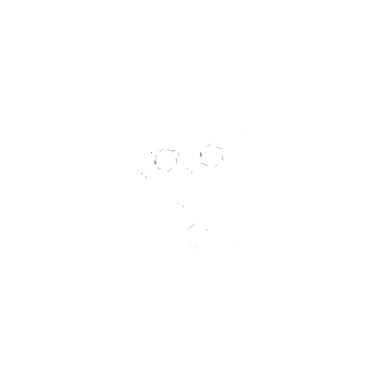 CN(CC1CCN(OC(=O)C(C)(C)C)CC1)c1cc(Nc2ccc(S(C)(=O)=O)cc2)ncn1